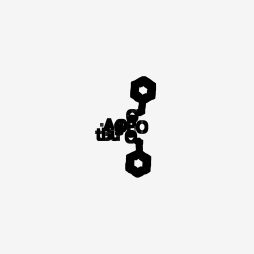 CC(C)(C)OP(=O)(OCc1ccccc1)OCc1ccccc1.[Ag]